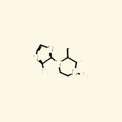 CC(=O)N1CCN(c2nccnc2Cl)C(C)C1